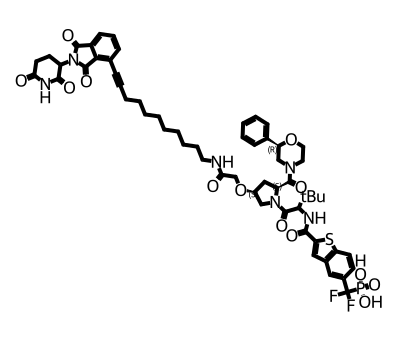 CC(C)(C)C(NC(=O)c1cc2cc(C(F)(F)P(=O)(O)O)ccc2s1)C(=O)N1C[C@@H](OCC(=O)NCCCCCCCCCC#Cc2cccc3c2C(=O)N(C2CCC(=O)NC2=O)C3=O)C[C@H]1C(=O)N1CCO[C@H](c2ccccc2)C1